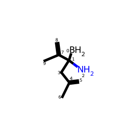 BC(N)(CC(=C)C)C(=C)C